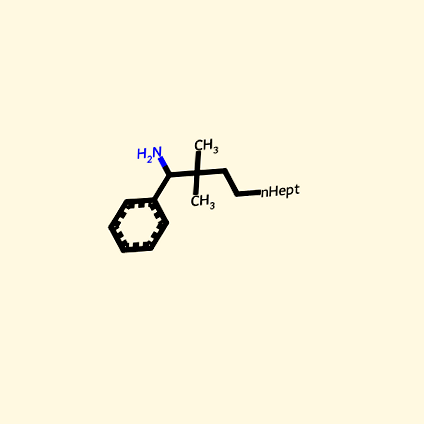 CCCCCCCCCC(C)(C)C(N)c1ccccc1